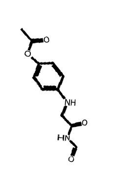 CC(=O)Oc1ccc(NCC(=O)NC=O)cc1